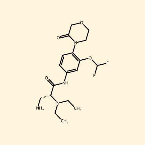 CCN(CC)[C@H](CN)C(=O)Nc1ccc(N2CCOCC2=O)c(OC(F)F)c1